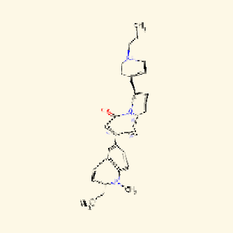 CCCN1CC=C(C2=CN3C(=O)\C=C(c4ccc5c(c4)C=CC(CC)N5C)/C=C/C=C/3C=C2)CC1